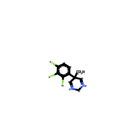 O=C(O)C1(c2ccc(F)c(F)c2F)C=NCN=C1